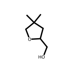 CC1(C)COC(CO)C1